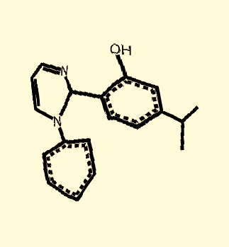 CC(C)c1ccc(C2N=CC=CN2c2ccccc2)c(O)c1